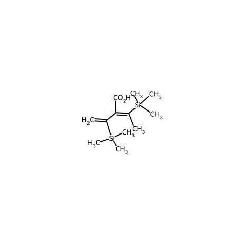 C=C(/C(C(=O)O)=C(\C)[Si](C)(C)C)[Si](C)(C)C